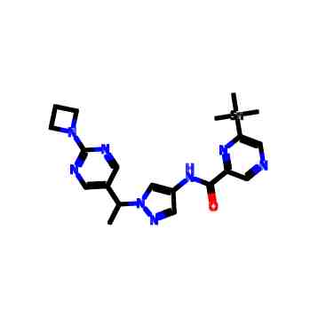 CC(c1cnc(N2CCC2)nc1)n1cc(NC(=O)c2cnc[c]([Sn]([CH3])([CH3])[CH3])n2)cn1